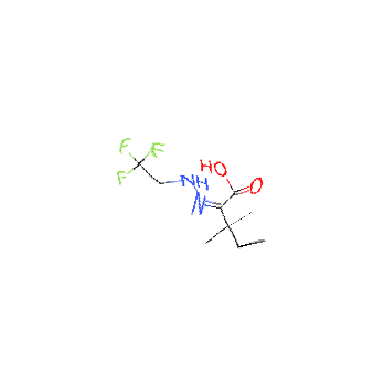 CCC(C)(C)C(=NNCC(F)(F)F)C(=O)O